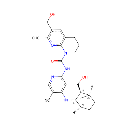 N#Cc1cnc(NC(=O)N2CCCc3cc(CO)c(C=O)nc32)cc1N[C@H]1[C@@H]2CC[C@@H](C2)[C@@H]1CO